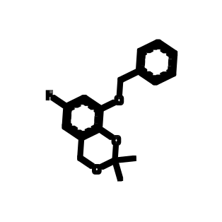 CC1(C)OCc2cc(F)cc(OCc3ccccc3)c2O1